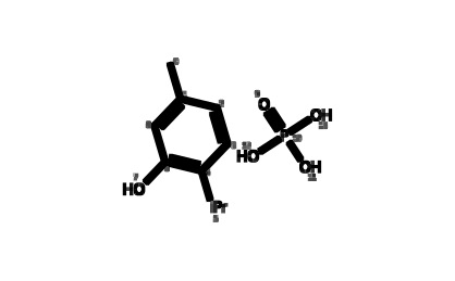 Cc1ccc(C(C)C)c(O)c1.O=P(O)(O)O